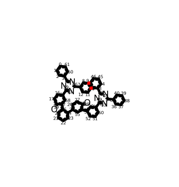 c1ccc(-c2nc(-c3ccccc3)nc(-c3ccc4oc5cccc(-c6ccc7oc8c(-c9nc(-c%10ccccc%10)nc(-c%10ccccc%10)n9)cccc8c7c6)c5c4c3)n2)cc1